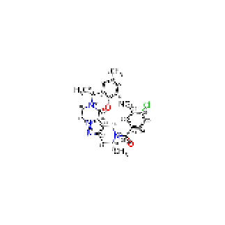 CC(c1cccc(C(F)(F)F)c1)N1CCn2nc3c(c2C1=O)CN(C(=O)c1ccc(Cl)c(C#N)c1)[C@H](C)C3